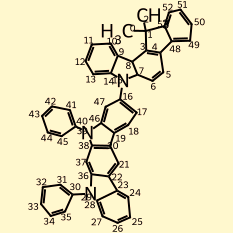 CC1(C)C2=C(C=CC3C2c2ccccc2N3c2ccc3c4cc5c6ccccc6n(-c6ccccc6)c5cc4n(-c4ccccc4)c3c2)c2ccccc21